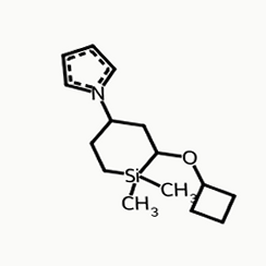 C[Si]1(C)CCC(n2cccc2)CC1OC1CCC1